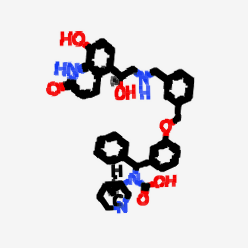 O=C(O)N(C(c1ccccc1)c1cccc(OCc2cccc(CNC[C@@H](O)c3ccc(O)c4[nH]c(=O)ccc34)c2)c1)[C@H]1CN2CCC1CC2